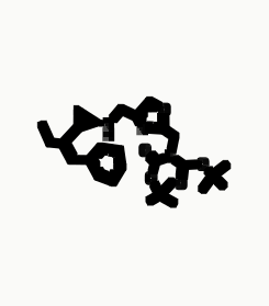 CCC(=Cc1ccccc1)C1C[C@@H]1NCc1coc(CN(C(=O)OC(C)(C)C)C(=O)OC(C)(C)C)n1